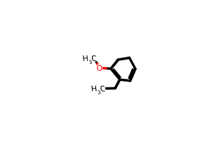 CCC1=C(OC)[CH]CC=C1